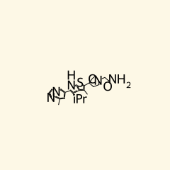 Cc1c(C2CCN(CC(N)=O)CC2)sc2[nH]c(-c3cc(C)c4nccn4c3)c(C(C)C)c12